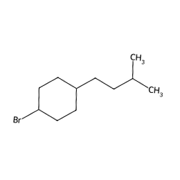 CC(C)CCC1CCC(Br)CC1